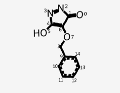 O=C1N=NC(O)=C1OCc1ccccc1